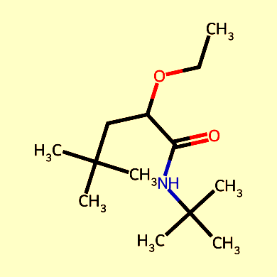 CCOC(CC(C)(C)C)C(=O)NC(C)(C)C